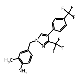 Cc1cc(Cn2cc(-c3ccc(C(F)(F)F)cc3)c(C(F)(F)F)n2)ccc1N